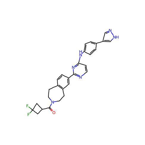 O=C(C1CC(F)(F)C1)N1CCc2ccc(-c3nccc(Nc4ccc(-c5cn[nH]c5)cc4)n3)cc2CC1